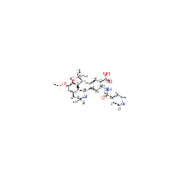 CCOc1cc2c(c3c1OC(C)(C)C3)C(c1ccc(C(=O)O)c(NC(=O)c3ccncc3)c1)=NC(C)(C)C2